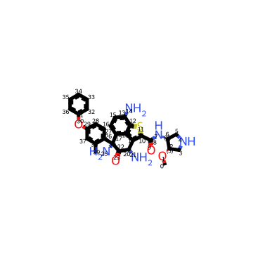 CO[C@H]1CNC[C@@H]1NC(=O)c1sc2c(N)ccc3c2c1C(N)C(=O)C3(N)c1ccc(Oc2ccccc2)cc1C